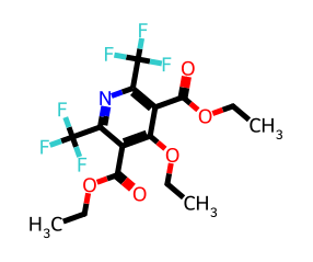 CCOC(=O)c1c(C(F)(F)F)nc(C(F)(F)F)c(C(=O)OCC)c1OCC